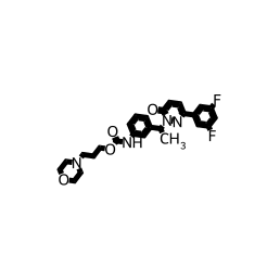 CC(c1cccc(NC(=O)OCCCN2CCOCC2)c1)n1nc(-c2cc(F)cc(F)c2)ccc1=O